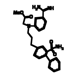 COC(=O)CN(CCCc1ccc(-c2ccccc2)c(S(N)(=O)=O)c1)c1cccc(C(=N)N)c1